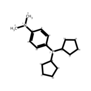 CN(C)c1ccc(P(C2CCCC2)C2CCCC2)cc1